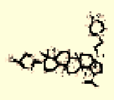 C=C(C)[C@@H]1CC[C@]2(NCCN3CCS(=O)(=O)CC3)CC[C@]3(C)[C@H](CC[C@@H]4[C@@]5(C)CCN(c6ncc(C#N)cn6)C(C)(C)[C@@H]5CC[C@]43C)[C@@H]12